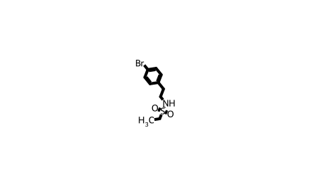 CCS(=O)(=O)NCCc1ccc(Br)cc1